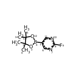 CC1(C)OB(c2cnc(F)nc2)OC1(C)C